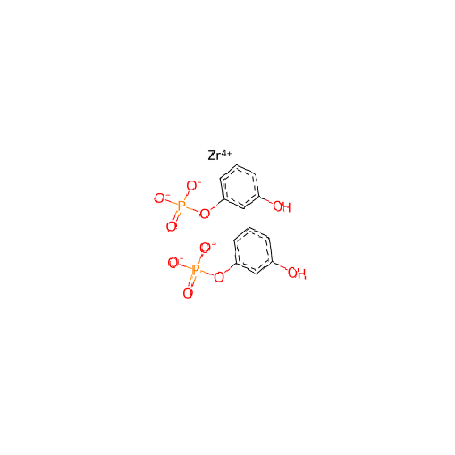 O=P([O-])([O-])Oc1cccc(O)c1.O=P([O-])([O-])Oc1cccc(O)c1.[Zr+4]